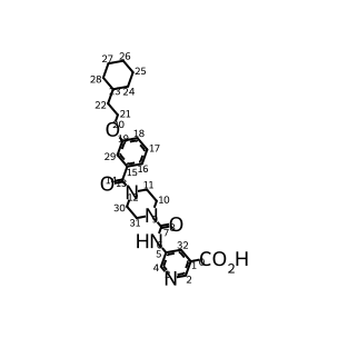 O=C(O)c1cncc(NC(=O)N2CCN(C(=O)c3cccc(OCCC4CCCCC4)c3)CC2)c1